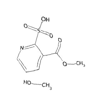 CO.COC(=O)c1cccnc1S(=O)(=O)O